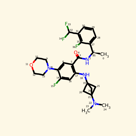 C[C@@H](NC(=O)c1cc(N2CCOCC2)c(F)cc1NC12CC(N(C)C)(C1)C2)c1cccc(C(F)F)c1F